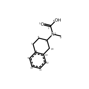 CN(C(=O)O)C1CCc2ccccc2C1